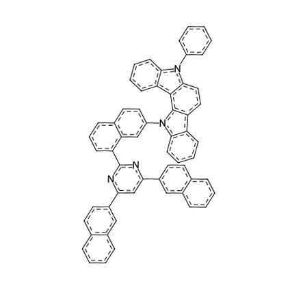 c1ccc(-n2c3ccccc3c3c2ccc2c4ccccc4n(-c4ccc5cccc(-c6nc(-c7ccc8ccccc8c7)cc(-c7ccc8ccccc8c7)n6)c5c4)c23)cc1